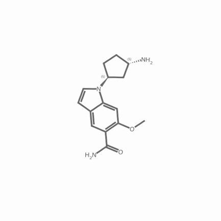 COc1cc2c(ccn2[C@H]2CC[C@H](N)C2)cc1C(N)=O